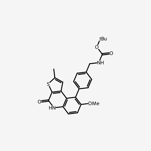 COc1ccc2[nH]c(=O)c3sc(C)cc3c2c1-c1ccc(CNC(=O)OC(C)(C)C)cc1